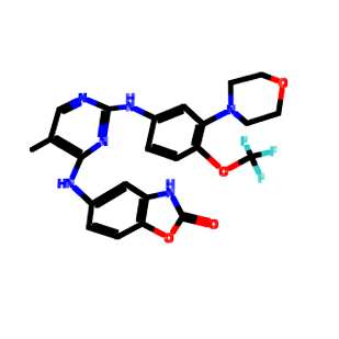 Cc1cnc(Nc2ccc(OC(F)(F)F)c(N3CCOCC3)c2)nc1Nc1ccc2oc(=O)[nH]c2c1